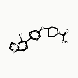 O=C(O)N1CCC(Oc2ccc(-c3ccc4nccn4c3Cl)cc2)CC1